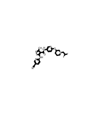 Cc1nsc(Nc2ccc(C#N)cn2)c1C(=O)Nc1ccc(OC2CCCN(CC(F)F)C2)nc1